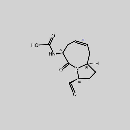 O=C[C@@H]1CC[C@@H]2C/C=C\C[C@H](NC(=O)O)C(=O)N21